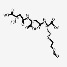 N[C@@H](CC(=O)N[C@@H](CC(=O)N[C@@H](CSSCCOC=O)C(=O)O)C(=O)O)C(=O)O